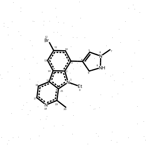 CCn1c2c(C3=CN(C)NC3)cc(Br)cc2c2ccnc(C)c21